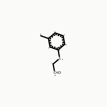 Cc1cccc(SC[C]=O)c1